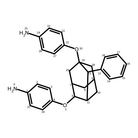 Nc1ccc(OC2C3CC4CC2C(c2ccccc2)C(Oc2ccc(N)cc2)(C4)C3)cc1